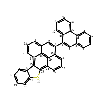 c1ccc2c(c1)cc(-c1cc3cccc4c5c6ccccc6sc5c5cccc1c5c34)c1ccccc12